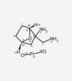 NCC1(N)C[C@@H]2CC[C@H]1O2.[Cl][Pt][Cl]